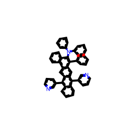 c1ccc(-c2c(N(c3ccccc3)c3ccccc3)c3ccccc3c3cc4c(-c5cccnc5)c5ccccc5c(-c5cccnc5)c4cc23)cc1